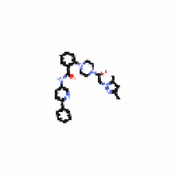 Cc1cc(C)n(CC(=O)N2CCN(c3ccccc3C(=O)Nc3ccc(-c4ccccc4)nc3)CC2)n1